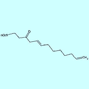 C=CCCCCCC=CCC(=O)CCCCCCCCCC